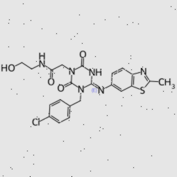 Cc1nc2ccc(/N=c3\[nH]c(=O)n(CC(=O)NCCO)c(=O)n3Cc3ccc(Cl)cc3)cc2s1